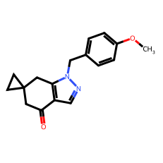 COc1ccc(Cn2ncc3c2CC2(CC2)CC3=O)cc1